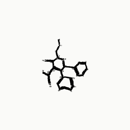 CSCn1nc(-c2ccccc2)c(-c2ccccc2)c(C(C)=O)c1=O